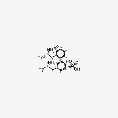 C[C@H](N)Cc1ccccc1.C[C@H](N)Cc1ccccc1.O=S(=O)(O)O.[Co]